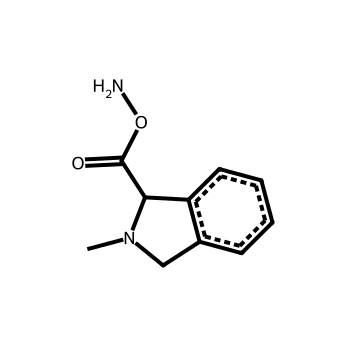 CN1Cc2ccccc2C1C(=O)ON